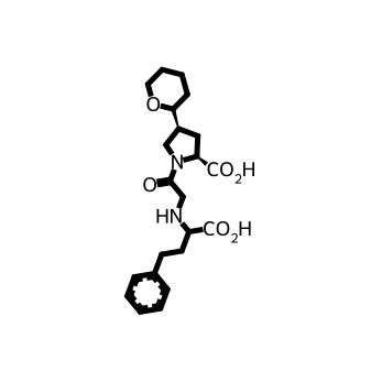 O=C(O)C(CCc1ccccc1)NCC(=O)N1C[C@@H](C2CCCCO2)C[C@H]1C(=O)O